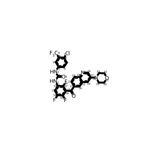 O=C(Nc1ccc(Cl)c(C(F)(F)F)c1)Nc1cc(F)c(F)c(C(=O)c2ccc3ncc(N4CCOCC4)cc3c2)c1F